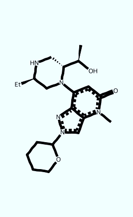 CC[C@@H]1CN(c2cc(=O)n(C)c3cn(C4CCCCO4)nc23)[C@@H]([C@@H](C)O)CN1